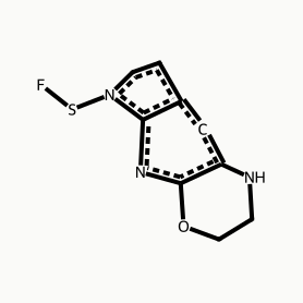 FSn1ccc2cc3c(nc21)OCCN3